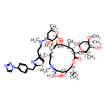 CC[C@H]1OC(=O)[C@H](C)[C@@H](O[C@H]2C[C@@](C)(OC)[C@@H](O)[C@H](C)O2)[C@H](C)[C@@H](O[C@@H]2O[C@H](C)C[C@H](N(C)CCc3csc(Cc4ccc(-n5ccnn5)cc4)n3)[C@H]2O)[C@](C)(O)C[C@@H](C)CN(C)[C@H](C)[C@@H](O)[C@]1(C)O